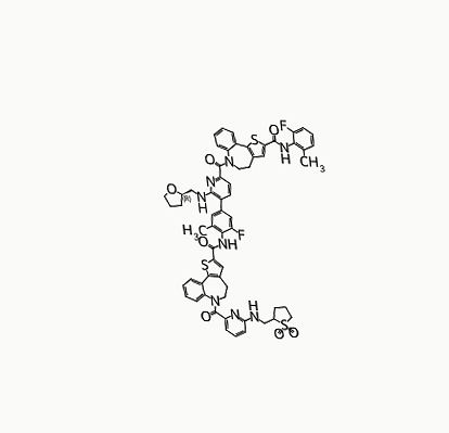 Cc1cc(-c2ccc(C(=O)N3CCc4cc(C(=O)Nc5c(C)cccc5F)sc4-c4ccccc43)nc2NC[C@H]2CCCO2)cc(F)c1NC(=O)c1cc2c(s1)-c1ccccc1N(C(=O)c1cccc(NCC3CCCS3(=O)=O)n1)CC2